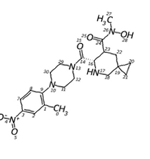 Cc1cc([N+](=O)[O-])ccc1N1CCN(C(=O)[C@H]2NCC3(CC3)CC2C(=O)N(C)O)CC1